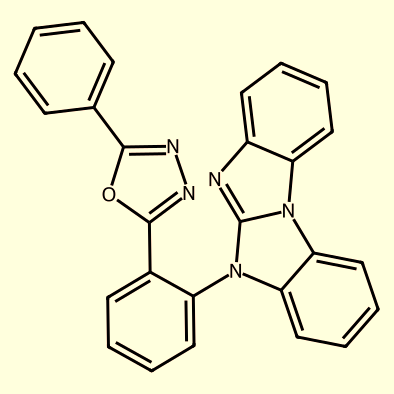 c1ccc(-c2nnc(-c3ccccc3-n3c4ccccc4n4c5ccccc5nc34)o2)cc1